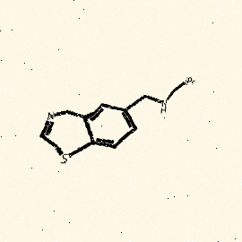 CC(C)NCc1ccc2scnc2c1